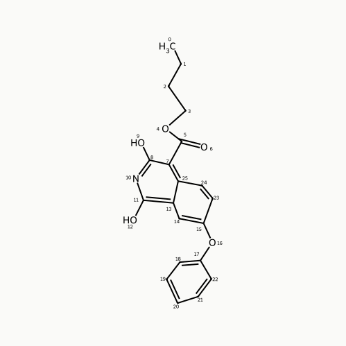 CCCCOC(=O)c1c(O)nc(O)c2cc(Oc3ccccc3)ccc12